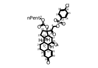 CCCCCOC(=O)O[C@]1(C(=O)COS(=O)(=O)c2ccc(Cl)cc2)CC[C@H]2[C@@H]3CCC4=CC(=O)C=C[C@]4(C)[C@H]3C(=O)C[C@@]21C